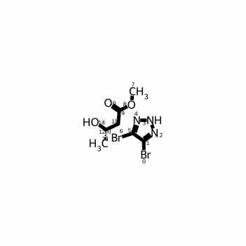 Brc1n[nH]nc1Br.COC(=O)C[C@H](C)O